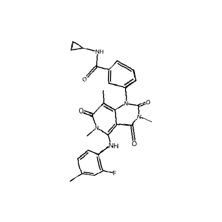 Cc1ccc(Nc2c3c(=O)n(C)c(=O)n(-c4cccc(C(=O)NC5CC5)c4)c3c(C)c(=O)n2C)c(F)c1